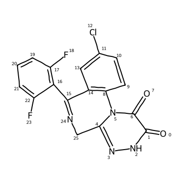 O=c1[nH]nc2n(c1=O)-c1ccc(Cl)cc1C(c1c(F)cccc1F)=NC2